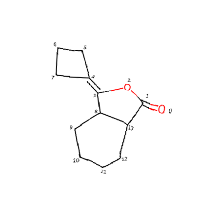 O=C1OC(=C2CCC2)C2CCCCC12